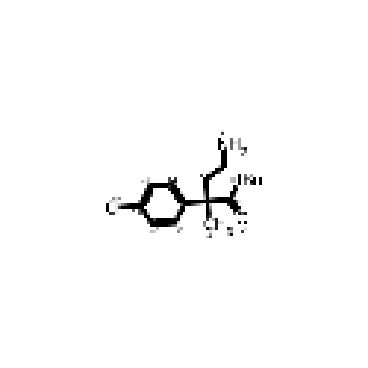 CC(C)(C)C(=O)C(C)(CCN)c1ccc(Cl)cc1